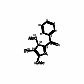 COc1nc(C(=O)c2ccccc2)n(OC)c1C(C)C